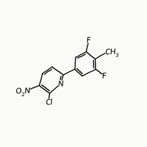 Cc1c(F)cc(-c2ccc([N+](=O)[O-])c(Cl)n2)cc1F